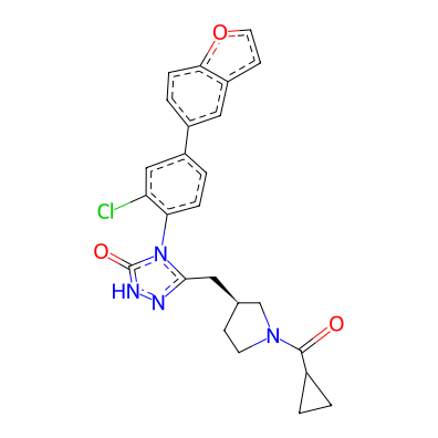 O=C(C1CC1)N1CC[C@@H](Cc2n[nH]c(=O)n2-c2ccc(-c3ccc4occc4c3)cc2Cl)C1